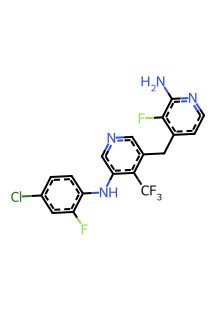 Nc1nccc(Cc2cncc(Nc3ccc(Cl)cc3F)c2C(F)(F)F)c1F